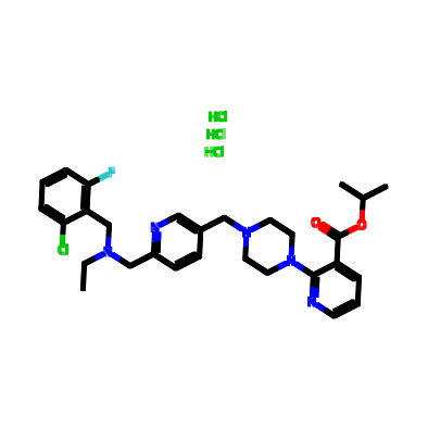 CCN(Cc1ccc(CN2CCN(c3ncccc3C(=O)OC(C)C)CC2)cn1)Cc1c(F)cccc1Cl.Cl.Cl.Cl